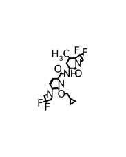 CC1C[C@H](NC(=O)c2ccc(N3CC(F)(F)C3)c(OCC3CC3)n2)C(=O)N2CC(F)(F)C12